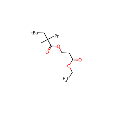 CC(C)C(C)(CC(C)(C)C)C(=O)OCCC(=O)OCC(F)(F)F